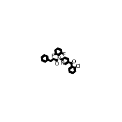 O=C(c1ccc(N(C(=O)CCc2ccccc2)c2c(F)cccc2F)nc1)c1ccccc1Cl